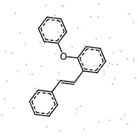 [C](=Cc1ccccc1Oc1ccccc1)c1ccccc1